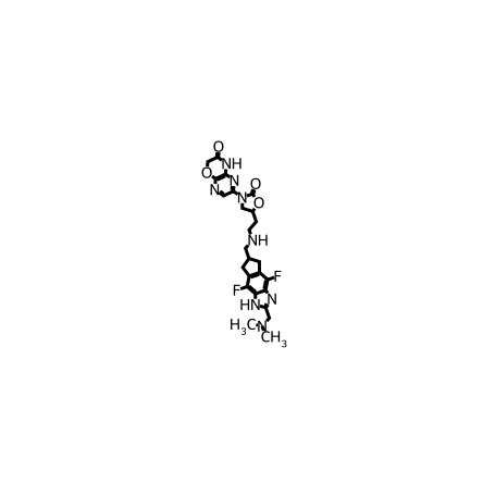 CN(C)Cc1nc2c(F)c3c(c(F)c2[nH]1)CC(CNCCC1CN(c2cnc4c(n2)NC(=O)CO4)C(=O)O1)C3